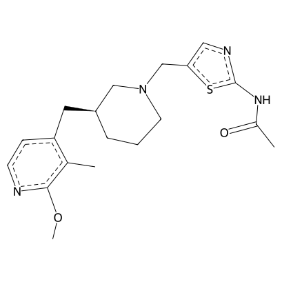 COc1nccc(C[C@@H]2CCCN(Cc3cnc(NC(C)=O)s3)C2)c1C